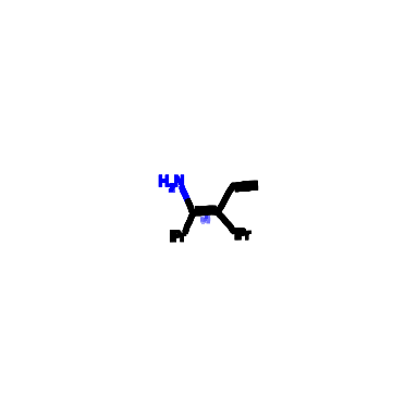 C=C/C(=C(\N)C(C)C)C(C)C